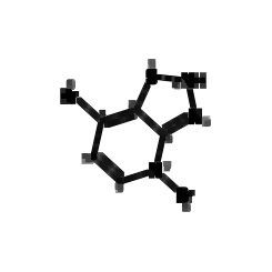 BrC1=C2SNN=C2N(Br)C=C1